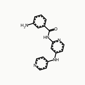 Nc1cccc(C(=O)Nc2cc(Nc3ccncc3)ccn2)c1